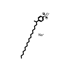 CCCCCCCCCCCCCCCCCC(C)c1ccc(S(=O)(=O)[O-])cc1.[Na+]